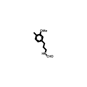 COc1cc(CCCNC=O)ccc1C